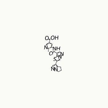 Cc1ncc(C(=O)O)cc1NC(=O)c1cnn2cc(-c3cnn4c3CCC4)sc12